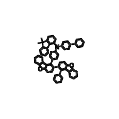 CC1(C)c2ccccc2-c2c(N(c3ccc(-c4ccccc4)cc3)c3ccc(-c4c(-c5ccc6oc7ccccc7c6c5-c5ccccc5)ccc5oc6ccccc6c45)cc3)cccc21